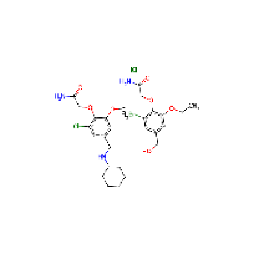 CCOc1cc(CO)cc(Br)c1OCC(N)=O.COc1cc(CNC2CCCCC2)cc(Cl)c1OCC(N)=O.Cl